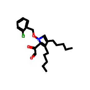 CCCCCc1cn(OCc2ccccc2Cl)c(C(=O)C=O)c1CCCCC